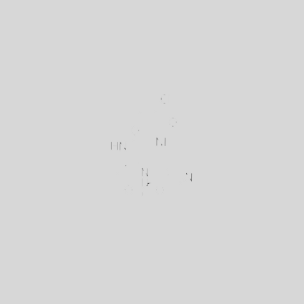 COc1c(Cl)cccc1Nc1c(-c2ccncc2OC[C@H]2CCO2)[nH]c2c1C(=O)NCC21CC1